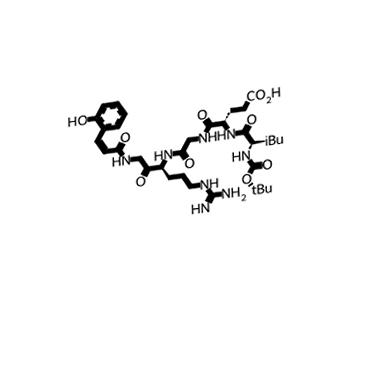 CC[C@H](C)[C@H](NC(=O)OC(C)(C)C)C(=O)N[C@@H](CCC(=O)O)C(=O)NCC(=O)N[C@@H](CCCNC(=N)N)C(=O)CNC(=O)/C=C\c1ccccc1O